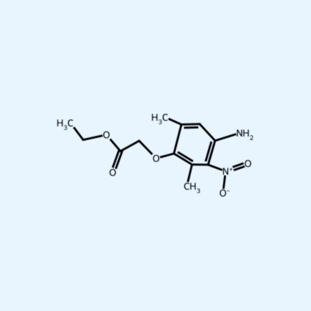 CCOC(=O)COc1c(C)cc(N)c([N+](=O)[O-])c1C